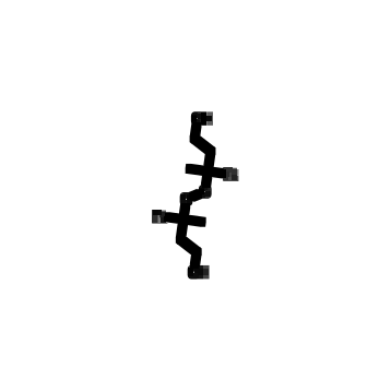 CCC(C)(CCO)OOC(C)(CC)CCO